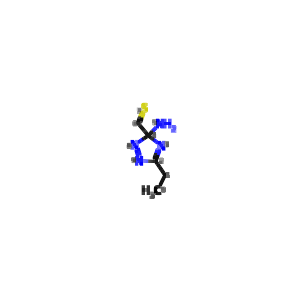 CCC1=NC(N)(C=S)N=N1